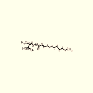 CCCCCCCCCC=CC(=O)OCC=C(C)C(=O)O